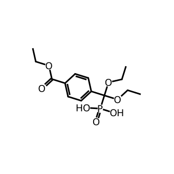 CCOC(=O)c1ccc(C(OCC)(OCC)P(=O)(O)O)cc1